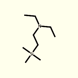 CCN(CC)CC[Si](C)(C)C